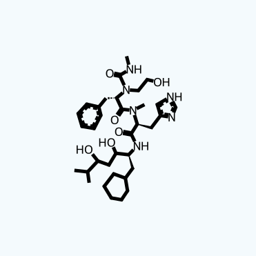 CNC(=O)N(CCO)[C@@H](Cc1ccccc1)C(=O)N(C)[C@@H](Cc1c[nH]cn1)C(=O)N[C@@H](CC1CCCCC1)C(O)CC(O)C(C)C